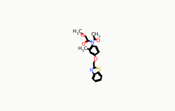 COCC(=O)N(C(C)=O)c1ccc(OCc2nc3ccccc3s2)cc1C